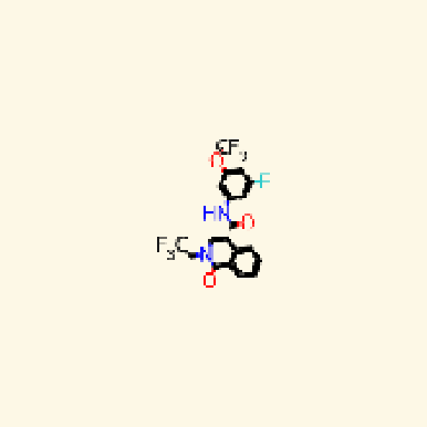 O=C(Nc1cc(F)cc(OC(F)(F)F)c1)[C@H]1CN(CC(F)(F)F)C(=O)c2ccccc21